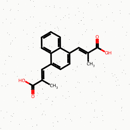 C/C(=C\c1ccc(/C=C(\C)C(=O)O)c2ccccc12)C(=O)O